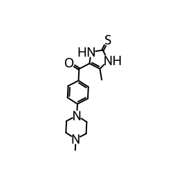 Cc1[nH]c(=S)[nH]c1C(=O)c1ccc(N2CCN(C)CC2)cc1